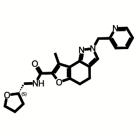 Cc1c(C(=O)NC[C@@H]2CCCO2)oc2c1-c1nn(Cc3ccccn3)cc1CC2